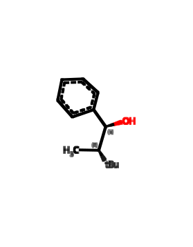 C[C@@H]([C@H](O)c1ccccc1)C(C)(C)C